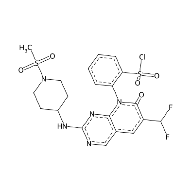 CS(=O)(=O)N1CCC(Nc2ncc3cc(C(F)F)c(=O)n(-c4ccccc4S(=O)(=O)Cl)c3n2)CC1